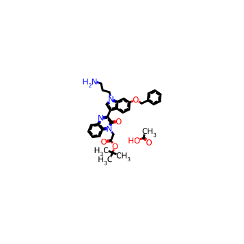 CC(=O)O.CC(C)(C)OC(=O)Cn1c(=O)c(-c2cn(CCCN)c3cc(OCc4ccccc4)ccc23)nc2ccccc21